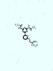 C[C@@H](Nc1nc(N[C@H](C)C(F)(F)F)nc(-c2cccc(SC[C@H](N)C(=O)O)n2)n1)C(F)(F)F